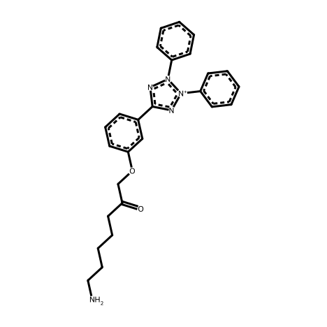 NCCCCCC(=O)COc1cccc(-c2nn(-c3ccccc3)[n+](-c3ccccc3)n2)c1